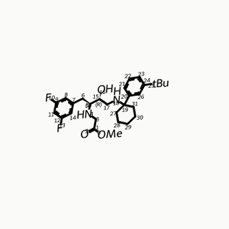 COC(=O)CN[C@@H](Cc1cc(F)cc(F)c1)[C@H](O)CNC1(c2cccc(C(C)(C)C)c2)CCCCC1